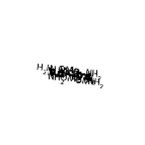 COc1cc(Cc2cnc(N)nc2N)cc(OC)c1OCCCCOc1c(OC)cc(Cc2cnc(N)nc2N)cc1OC